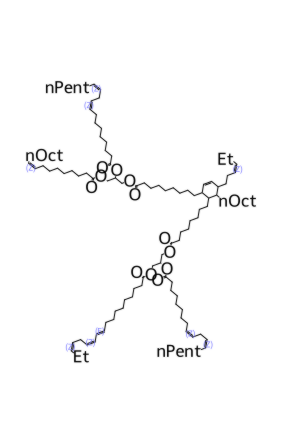 CC/C=C\C/C=C\C=C\CCCCCCCCC(=O)OCC(COC(=O)CCCCCCCC1C(CCCCCCCCC(=O)OCC(COC(=O)CCCCCCC/C=C\CCCCCCCC)OC(=O)CCCCCCC/C=C\C/C=C\CCCCC)C=CC(CC/C=C\CC)C1CCCCCCCC)OC(=O)CCCCCCC/C=C\C/C=C\CCCCC